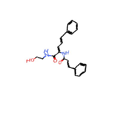 O=C(C=Cc1ccccc1)N/C(=C\C=C\c1ccccc1)C(=O)NCCO